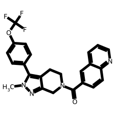 Cn1nc2c(c1-c1ccc(OC(F)(F)F)cc1)CCN(C(=O)c1ccc3ncccc3c1)C2